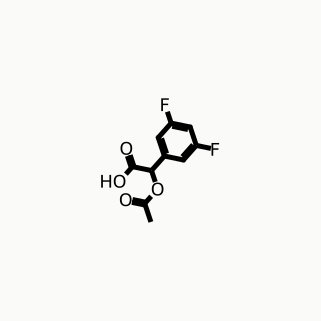 CC(=O)OC(C(=O)O)c1cc(F)cc(F)c1